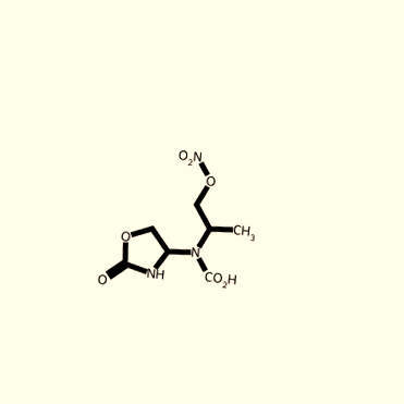 CC(CO[N+](=O)[O-])N(C(=O)O)C1COC(=O)N1